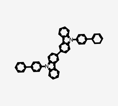 C1=CCCC(c2ccc(-n3c4ccccc4c4cc(-c5ccc6c(c5)c5ccccc5n6-c5ccc(-c6ccccc6)cc5)ccc43)cc2)=C1